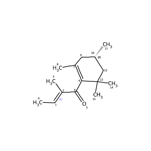 C/C=C(\C)C(=O)C1=C(C)C[C@H](C)CC1(C)C